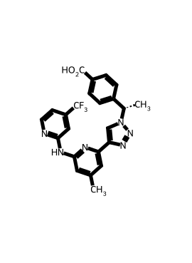 Cc1cc(Nc2cc(C(F)(F)F)ccn2)nc(-c2cn([C@@H](C)c3ccc(C(=O)O)cc3)nn2)c1